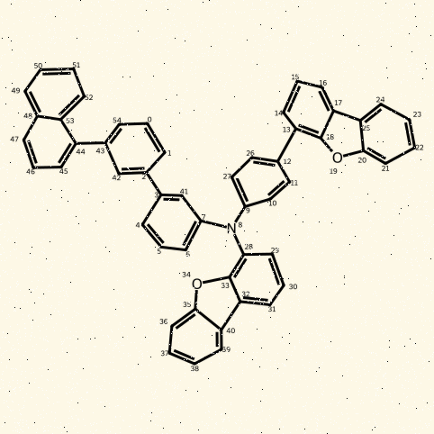 c1cc(-c2cccc(N(c3ccc(-c4cccc5c4oc4ccccc45)cc3)c3cccc4c3oc3ccccc34)c2)cc(-c2cccc3ccccc23)c1